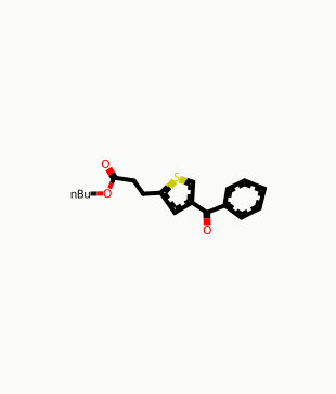 CCCCOC(=O)CCc1cc(C(=O)c2ccccc2)cs1